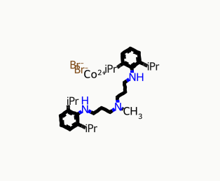 CC(C)c1cccc(C(C)C)c1NCCCN(C)CCCNc1c(C(C)C)cccc1C(C)C.[Br-].[Br-].[Co+2]